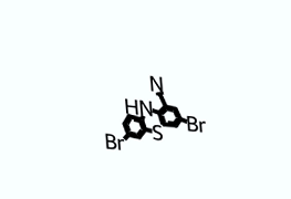 N#Cc1cc(Br)cc2c1Nc1ccc(Br)cc1S2